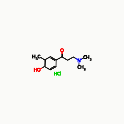 Cc1cc(C(=O)CCN(C)C)ccc1O.Cl